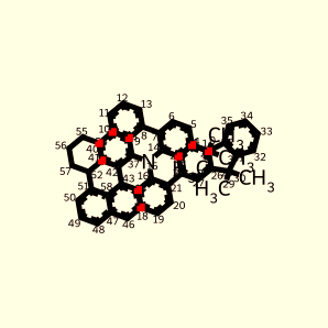 CC(C)(C)c1ccc(-c2ccccc2)c(N(c2ccccc2-c2ccc3c(c2)C(C)(C)c2ccccc2-3)c2ccccc2-c2cccc3cccc(C4CCCCC4)c23)c1